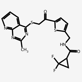 Cc1nc(SCC(=O)c2ccc(CNC(=O)C3CC3(F)F)s2)c2cccnc2n1